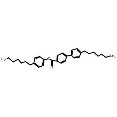 CCCCCCCc1ccc(OC(=O)c2ccc(-c3ccc(CCCCCCC)cc3)cc2)cc1